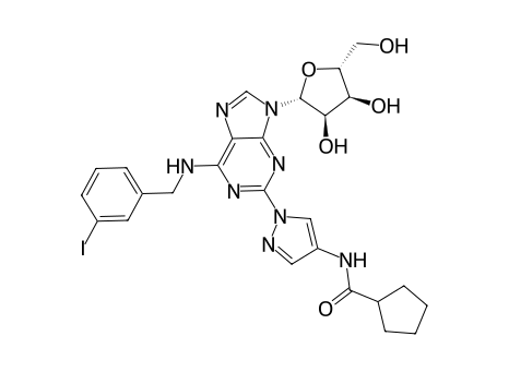 O=C(Nc1cnn(-c2nc(NCc3cccc(I)c3)c3ncn([C@@H]4O[C@H](CO)[C@@H](O)[C@H]4O)c3n2)c1)C1CCCC1